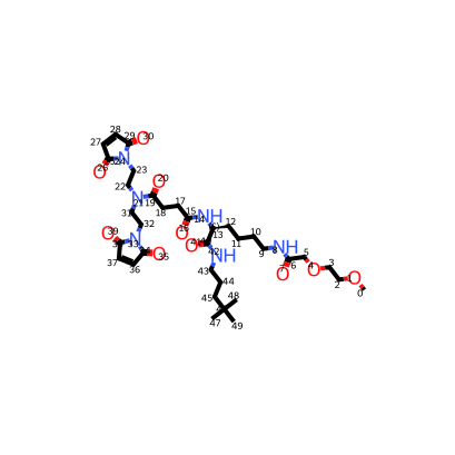 COCCOCC(=O)NCCCC[C@H](NC(=O)CCC(=O)N(CCN1C(=O)C=CC1=O)CCN1C(=O)C=CC1=O)C(=O)NCCCC(C)(C)C